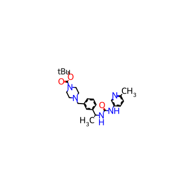 Cc1ccc(NC(=O)N[C@@H](C)c2cccc(CN3CCN(C(=O)OC(C)(C)C)CC3)c2)cn1